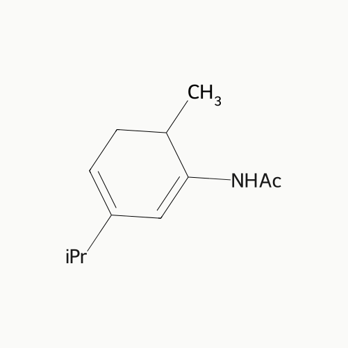 CC(=O)NC1=CC(C(C)C)=CCC1C